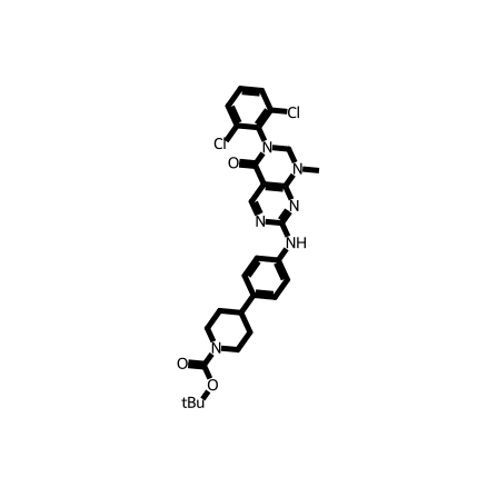 CN1CN(c2c(Cl)cccc2Cl)C(=O)c2cnc(Nc3ccc(C4CCN(C(=O)OC(C)(C)C)CC4)cc3)nc21